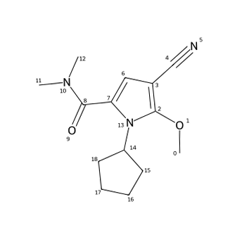 COc1c(C#N)cc(C(=O)N(C)C)n1C1CCCC1